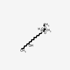 CCCCCCC(O)CCCCCCCCCCOC(=O)C(C)(C)OCC